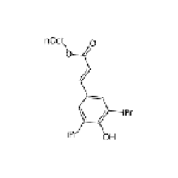 CCCCCCCCOC(=O)C=Cc1cc(C(C)C)c(O)c(C(C)C)c1